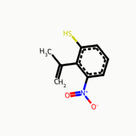 C=C(C)c1c(S)cccc1[N+](=O)[O-]